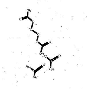 O=C(O)O.O=C(O)O.O=C(O)OOOOC(=O)O